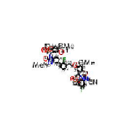 CCOc1cc([C@H](CS(C)(=O)=O)n2c(=O)n(CNC)c3cc(-c4cccc(CCOc5cc([C@H](CS(C)(=O)=O)n6c(=O)n(CC#N)c7cc(F)ccc76)ccc5OC)c4F)ccc32)ccc1OC